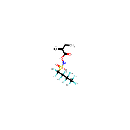 C=C(CC)C(=O)ONS(=O)(=O)C(F)(F)C(F)(F)C(F)(F)C(F)(F)F